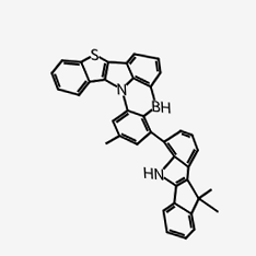 Cc1cc(-c2cccc3c4c([nH]c23)-c2ccccc2C4(C)C)c2c(c1)-n1c3c(cccc3c3sc4ccccc4c31)B2